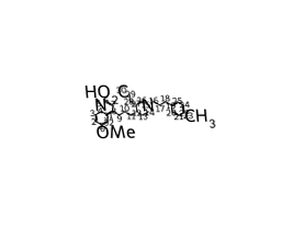 COc1ccc2nccc(CCC[C@@H]3CCN(CCCc4ccc(C)cc4)C[C@@H]3CCC(=O)O)c2c1